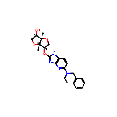 CCN(Cc1ccccc1)c1ccc2[nH]c(O[C@@H]3CO[C@H]4[C@@H]3OC[C@H]4O)nc2n1